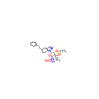 C[C@](CCn1ncc2cc(CCc3ccccc3)ccc21)(C(=O)NO)S(C)(=O)=O